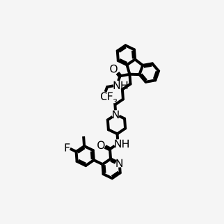 Cc1cc(-c2cccnc2C(=O)NC2CCN(CCCCC3(C(=O)NCC(F)(F)F)c4ccccc4-c4ccccc43)CC2)ccc1F